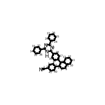 N#Cc1ccc(-c2ccc3ccccc3c2-c2ccc(C3N=C(c4ccccc4)N=C(c4ccccc4)N3)cc2)cc1